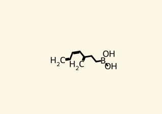 C=C/C=C\C(=C)CCB(O)O